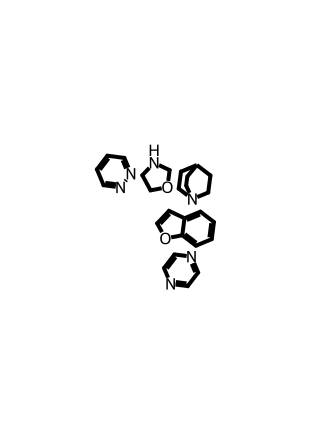 C1CN2CCC1CC2.C1COCN1.c1ccc2occc2c1.c1ccnnc1.c1cnccn1